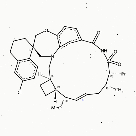 CO[C@H]1/C=C/C[C@@H](C)[C@@H](C(C)C)S(=O)(=O)NC(=O)c2ccc3c(c2)N(C[C@@H]2CC[C@H]21)C[C@@]1(CCCc2cc(Cl)ccc21)CO3